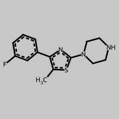 Cc1sc(N2CCNCC2)nc1-c1cccc(F)c1